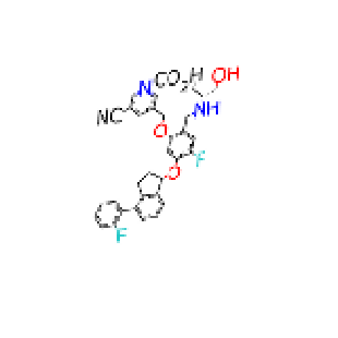 N#Cc1cncc(COc2cc(OC3CCc4c(-c5ccccc5F)cccc43)c(F)cc2CN[C@@H](CO)CC(=O)O)c1